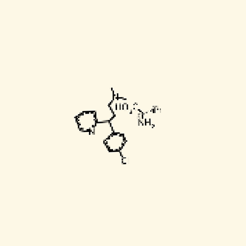 CC(C)[C@H](N)C(=O)O.CN(C)CCC(c1ccc(Cl)cc1)c1ccccn1